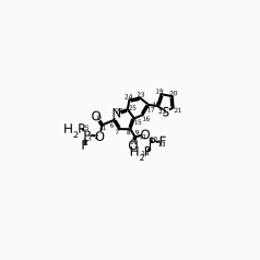 O=C(OP(F)P)c1cc(C(=O)OP(F)P)c2cc(-c3cccs3)ccc2n1